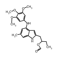 CCC(Cc1cc2c(Nc3cc(OC)c(OC)c(OC)c3)cc(C)cc2[nH]1)OC=O